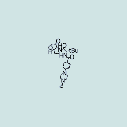 CC(C)(C)[C@H](NC(=O)c1ccc(N2CCN(C3CC3)CC2)cc1)C(=O)N1CC[C@H]2OCC(=O)[C@H]21